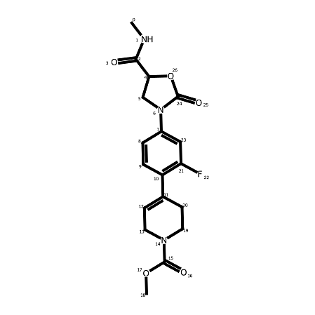 CNC(=O)C1CN(c2ccc(C3=CCN(C(=O)OC)CC3)c(F)c2)C(=O)O1